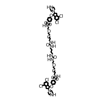 O=C(NCCCCNC(=O)NCCOCCOCCNS(=O)(=O)c1ccc(O[C@H]2c3cc(Cl)cc(Cl)c3C[C@@H]2N2CCNCC2)cc1)NCCOCCOCCNS(=O)(=O)c1ccc(O[C@H]2c3cc(Cl)cc(Cl)c3C[C@@H]2N2CCNCC2)cc1